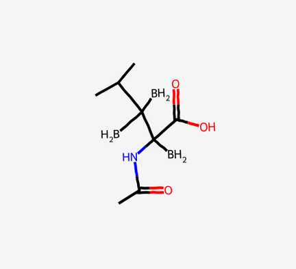 BC(NC(C)=O)(C(=O)O)C(B)(B)C(C)C